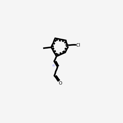 Cc1ccc(Cl)cc1/C=C/C=O